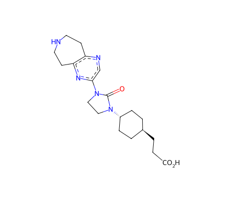 O=C(O)CC[C@H]1CC[C@H](N2CCN(c3cnc4c(n3)CCNCC4)C2=O)CC1